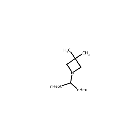 CCCCCCCC(CCCCCC)N1CC(C)(C)C1